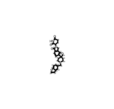 O=C1CCC(N2Cc3c(ccc4c3OCC43CCN(Cc4ccc5sccc5c4)CC3)C2=O)C(=O)N1